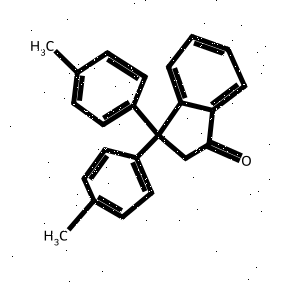 Cc1ccc(C2(c3ccc(C)cc3)CC(=O)c3ccccc32)cc1